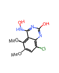 COc1cc(Cl)c2nc(O)nc(NO)c2c1OC